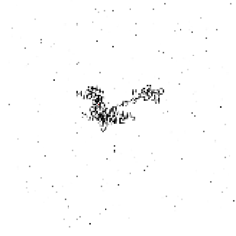 C/C(=C\C(=O)N[C@H]1CCc2cccc3c2N(C1=O)[C@H](C(=O)N[C@@H](CCC(N)=O)[C@@H](C)OCc1ccc(CCCOCCCOCCCc2cccc4c2n(C)c(=O)n4C2CCC(=O)NC2=O)cc1)C3)c1ccc(C(F)(F)P(=O)(OCOC(=O)C(C)(C)C)OCOC(=O)C(C)(C)C)cc1